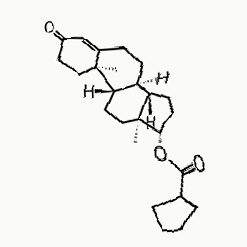 C[C@]12CC[C@H]3[C@@H](CCC4=CC(=O)CC[C@@]43C)[C@@H]1CC[C@@H]2OC(=O)C1CCCC1